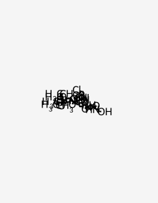 CC(C)(C)OC(=O)c1cc2cc(NC(=O)C(Cc3ccc(NC(=O)N4CCC(C(=O)NCCO)CC4)cc3)N3CCN(c4cc(Cl)ccc4-n4cnnn4)C(=O)C3=O)ccc2n1C(=O)OC(C)(C)C